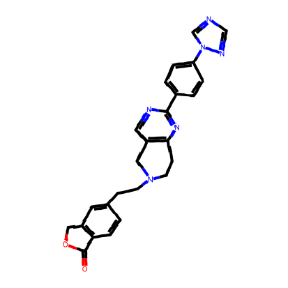 O=C1OCc2cc(CCN3CCc4nc(-c5ccc(-n6cncn6)cc5)ncc4C3)ccc21